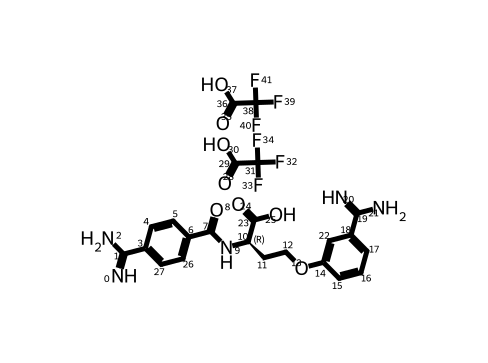 N=C(N)c1ccc(C(=O)N[C@H](CCOc2cccc(C(=N)N)c2)C(=O)O)cc1.O=C(O)C(F)(F)F.O=C(O)C(F)(F)F